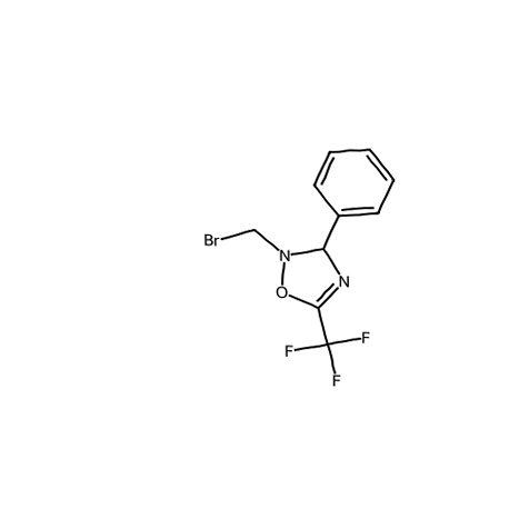 FC(F)(F)C1=NC(c2ccccc2)N(CBr)O1